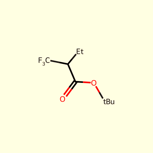 CCC(C(=O)OC(C)(C)C)C(F)(F)F